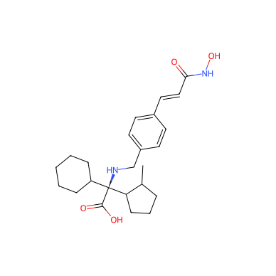 CC1CCCC1[C@](NCc1ccc(/C=C/C(=O)NO)cc1)(C(=O)O)C1CCCCC1